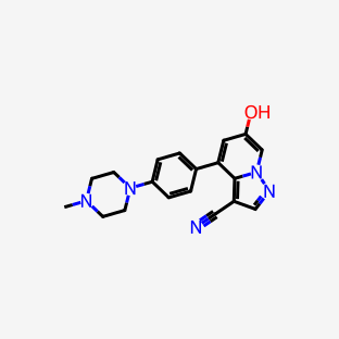 CN1CCN(c2ccc(-c3cc(O)cn4ncc(C#N)c34)cc2)CC1